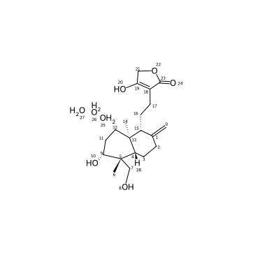 C=C1CC[C@@H]2[C@](C)(CO)[C@H](O)CC[C@@]2(C)[C@@H]1CCC1=C(O)COC1=O.O.O.O